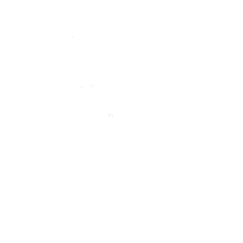 COCCOc1cc(NC(=O)c2cccc(CSCC(O)CO)c2)c(C(=O)N/N=C\c2ccc(Cl)c(C(F)(F)F)c2)cc1OCCOC